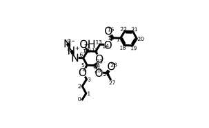 CCCCOC1C(N=[N+]=[N-])[C@@H](O)C(COC(=O)c2ccccc2)O[C@H]1OC(C)=O